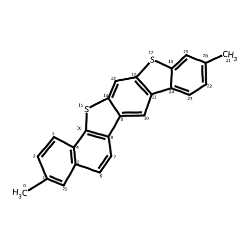 Cc1ccc2c(ccc3c4cc5c(cc4sc23)sc2cc(C)ccc25)c1